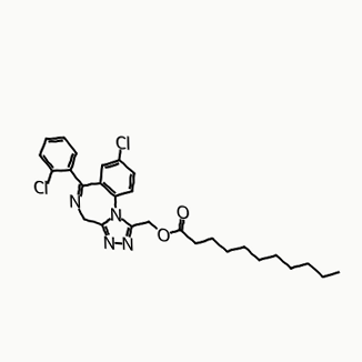 CCCCCCCCCCC(=O)OCc1nnc2n1-c1ccc(Cl)cc1C(c1ccccc1Cl)=NC2